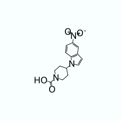 O=C(O)N1CCC(n2ccc3cc([N+](=O)[O-])ccc32)CC1